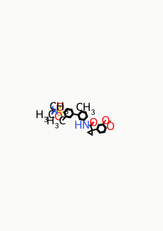 Cc1ccc(NC(=O)C2(c3ccc4c(c3)OCO4)CC2)cc1-c1ccc(S(=O)(=O)N(C)C)c(C)c1